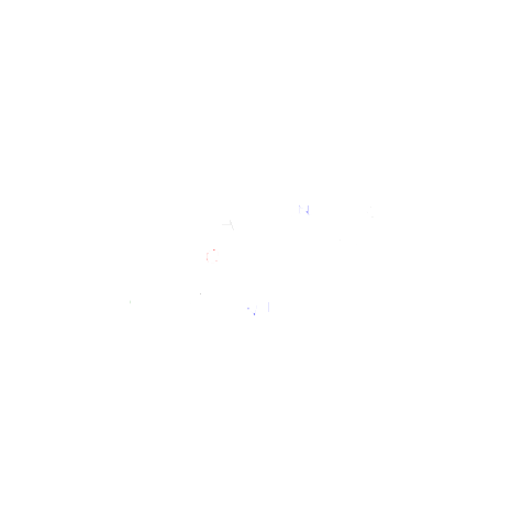 Cc1ccc(NC(=O)CCl)c(C)n1